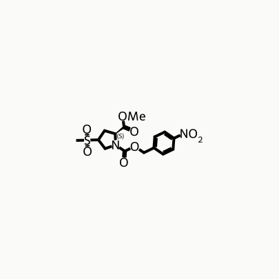 COC(=O)[C@@H]1CC(S(C)(=O)=O)CN1C(=O)OCc1ccc([N+](=O)[O-])cc1